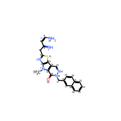 Cn1c2nc(CC(=N)/C=C\N)sc2c2cnn(Cc3ccc4ccccc4c3)c(=O)c21